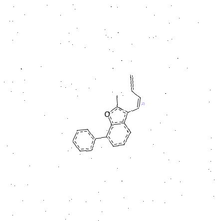 C=C/C=C\c1c(C)oc2c(-c3ccccc3)cccc12